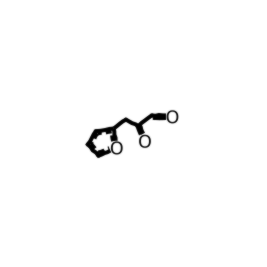 O=CC(=O)Cc1ccco1